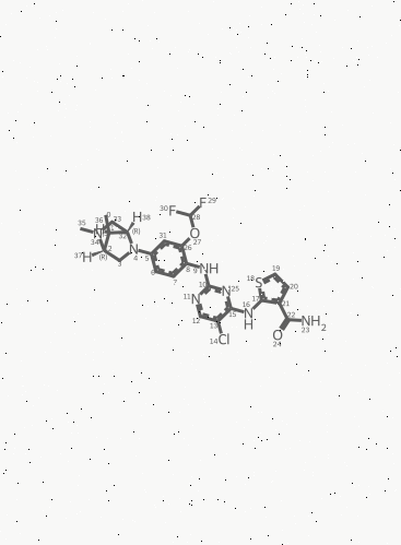 C[C@H]1[C@@H]2CN(c3ccc(Nc4ncc(Cl)c(Nc5sccc5C(N)=O)n4)c(OC(F)F)c3)[C@H]1CN2C